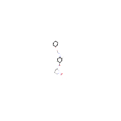 CC(C)(C)OC(=O)N1CC[C@H](F)[C@@H](NC(=O)c2cc([N+](=O)[O-])c(NCCOc3ccccc3)cc2F)C1